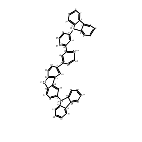 c1ccc2c(c1)c1ccccc1n2-c1ccnc(-c2cc(-c3ccc4oc5ccc(-n6c7ccccc7c7ccccc76)cc5c4c3)ccn2)c1